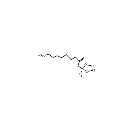 CCCCCCCCCCCCCCCCCC(=O)O[Si](OCC)(OCC)OCC